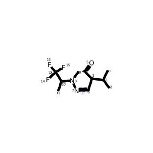 CC(C)C(C=O)/C=N\N(C)C(C)C(F)(F)F